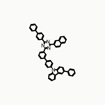 c1ccc(-c2ccc(-c3nc(-c4cccc(-c5ccc(-n6c7ccccc7c7cc(-c8ccccc8)ccc76)cc5)c4)nc(-c4ccc5ccccc5c4)n3)cc2)cc1